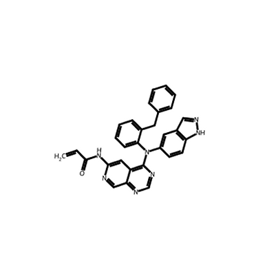 C=CC(=O)Nc1cc2c(N(c3ccc4[nH]ncc4c3)c3ccccc3Cc3ccccc3)ncnc2cn1